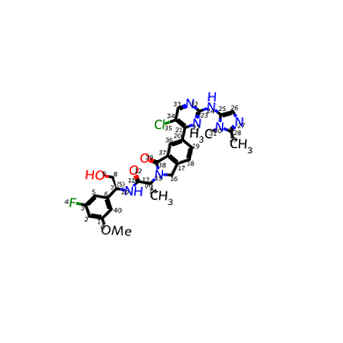 COc1cc(F)cc([C@@H](CO)NC(=O)[C@@H](C)N2Cc3ccc(-c4nc(Nc5cnc(C)n5C)ncc4Cl)cc3C2=O)c1